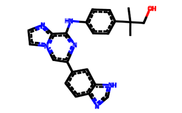 CC(C)(CO)c1ccc(Nc2nc(-c3ccc4nc[nH]c4c3)cn3ccnc23)cc1